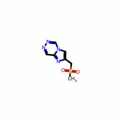 CS(=O)(=O)Cc1cn2cnncc2n1